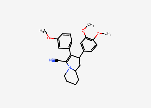 COc1cccc(C2=C(C#N)N3CCCCC3CC2c2ccc(OC)c(OC)c2)c1